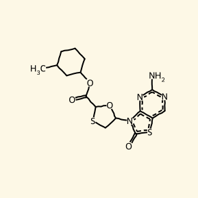 CC1CCCC(OC(=O)C2OC(n3c(=O)sc4cnc(N)nc43)CS2)C1